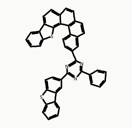 c1ccc(-c2nc(-c3ccc4c(ccc5ccc6ccc7c8ccccc8sc7c6c54)c3)nc(-c3ccc4sc5ccccc5c4c3)n2)cc1